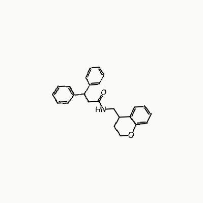 O=C(CC(c1ccccc1)c1ccccc1)NCC1CCOc2ccccc21